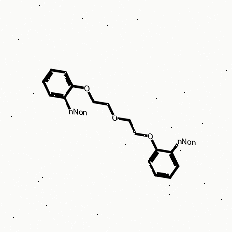 CCCCCCCCCc1ccccc1OCCOCCOc1ccccc1CCCCCCCCC